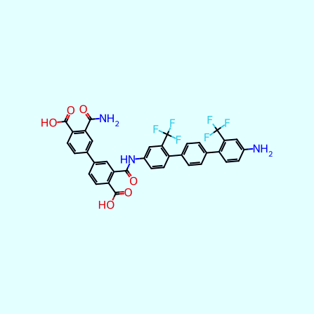 NC(=O)c1cc(-c2ccc(C(=O)O)c(C(=O)Nc3ccc(-c4ccc(-c5ccc(N)cc5C(F)(F)F)cc4)c(C(F)(F)F)c3)c2)ccc1C(=O)O